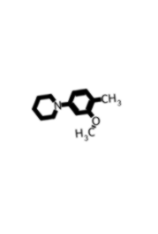 COc1cc(N2CCCCC2)ccc1C